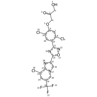 O=C(CO)COc1cc(Cl)c(-c2noc(-c3cn4cc(C(F)(F)F)cc(Cl)c4n3)n2)cc1Cl